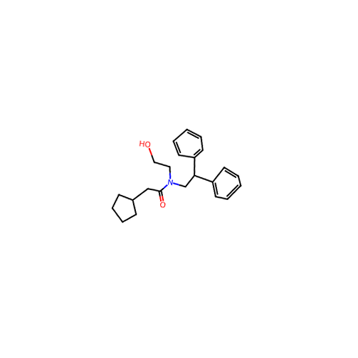 O=C(CC1CCCC1)N(CCO)CC(c1ccccc1)c1ccccc1